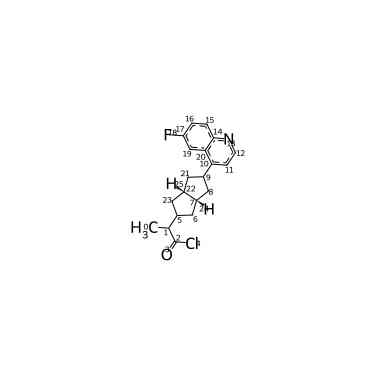 CC(C(=O)Cl)C1C[C@H]2CC(c3ccnc4ccc(F)cc34)C[C@H]2C1